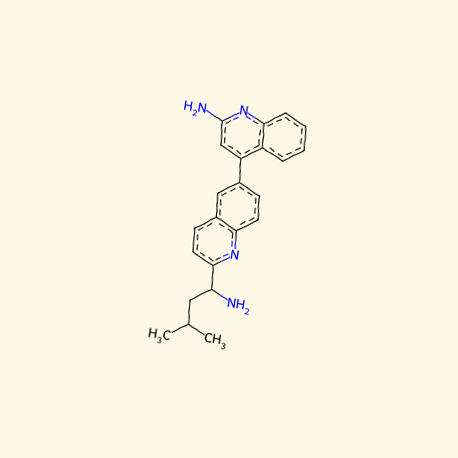 CC(C)CC(N)c1ccc2cc(-c3cc(N)nc4ccccc34)ccc2n1